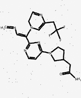 C=N/C=C(/c1nccc(N2CCC(CC(N)=O)C2)n1)N1C=C(CC(F)(F)F)N=CC1